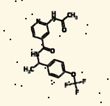 CC(=O)Nc1cc(C(=O)NC(C)c2ccc(OC(F)(F)F)cc2)ccn1